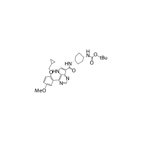 COc1ccc(OCC2CC2)c(-c2ncnc3c(C(=O)N[C@H]4CC[C@@H](NC(=O)OC(C)(C)C)CC4)c[nH]c23)c1